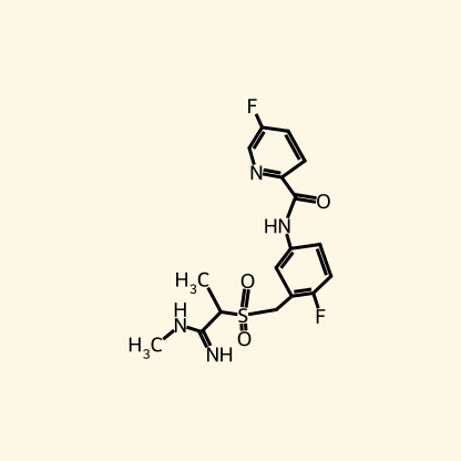 CNC(=N)C(C)S(=O)(=O)Cc1cc(NC(=O)c2ccc(F)cn2)ccc1F